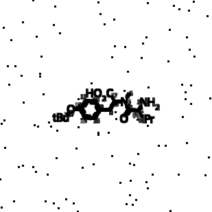 CC(C)[C@H](N)C(=O)N(C)[C@@H](Cc1ccc(OC(C)(C)C)cc1)C(=O)O